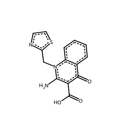 Nc1c(C(=O)O)c(=O)c2ccccc2n1Cc1nccs1